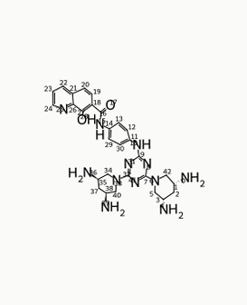 N[C@@H]1C[C@H](N)CN(c2nc(Nc3ccc(NC(=O)c4ccc5cccnc5c4O)cc3)nc(N3C[C@H](N)C[C@H](N)C3)n2)C1